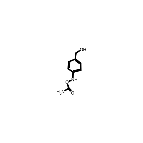 NC(=O)ONc1ccc(CO)cc1